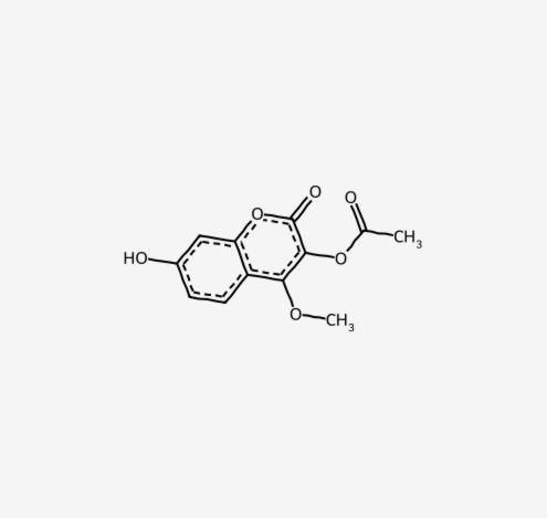 COc1c(OC(C)=O)c(=O)oc2cc(O)ccc12